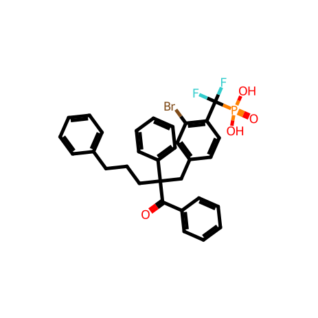 O=C(c1ccccc1)C(CCCc1ccccc1)(Cc1ccc(C(F)(F)P(=O)(O)O)c(Br)c1)c1ccccc1